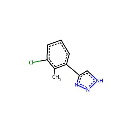 Cc1c(Cl)cccc1-c1c[nH]nn1